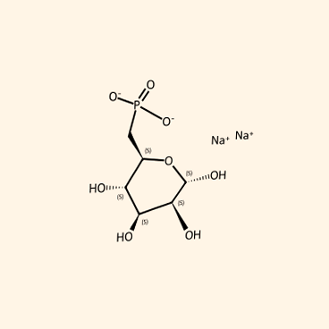 O=P([O-])([O-])C[C@H]1O[C@H](O)[C@@H](O)[C@@H](O)[C@@H]1O.[Na+].[Na+]